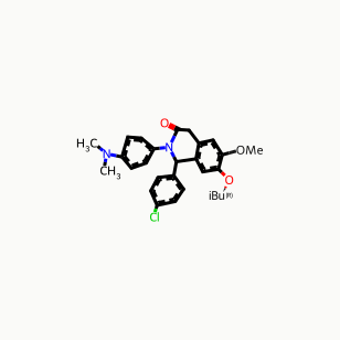 CC[C@@H](C)Oc1cc2c(cc1OC)CC(=O)N(c1ccc(N(C)C)cc1)C2c1ccc(Cl)cc1